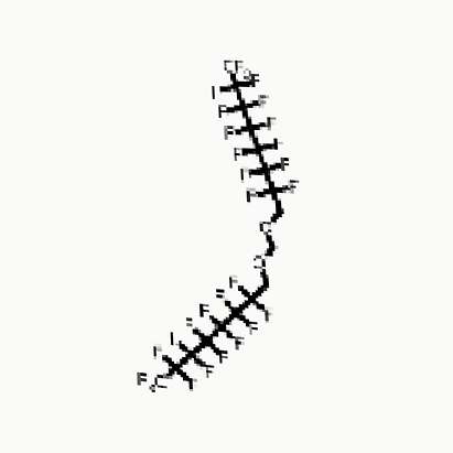 FC(F)(F)C(F)(F)C(F)(F)C(F)(F)C(F)(F)C(F)(F)C(F)(F)COCOCC(F)(F)C(F)(F)C(F)(F)C(F)(F)C(F)(F)C(F)(F)C(F)(F)F